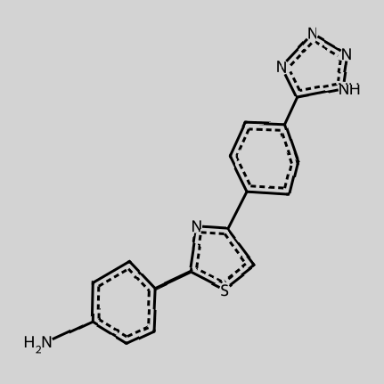 Nc1ccc(-c2nc(-c3ccc(-c4nnn[nH]4)cc3)cs2)cc1